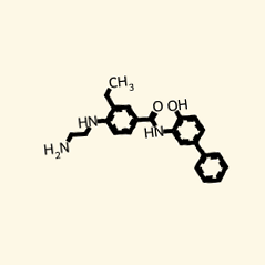 CCc1cc(C(=O)Nc2cc(-c3ccccc3)ccc2O)ccc1NCCN